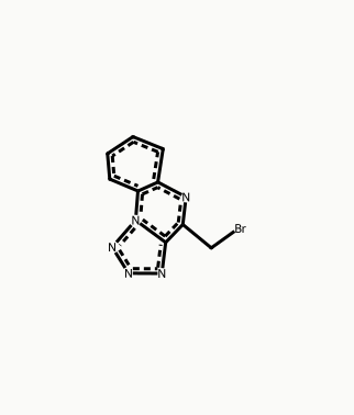 BrCc1nc2ccccc2n2nnnc12